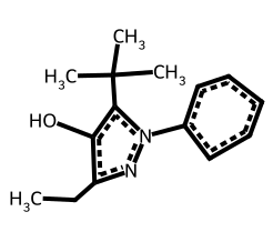 CCc1nn(-c2ccccc2)c(C(C)(C)C)c1O